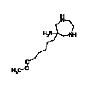 COOCCCCCC1(N)CNCCNC1